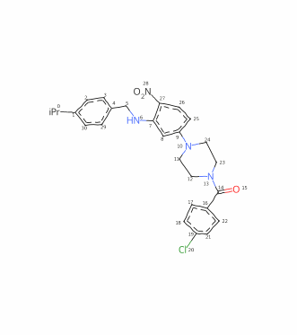 CC(C)c1ccc(CNc2cc(N3CCN(C(=O)c4ccc(Cl)cc4)CC3)ccc2[N+](=O)[O-])cc1